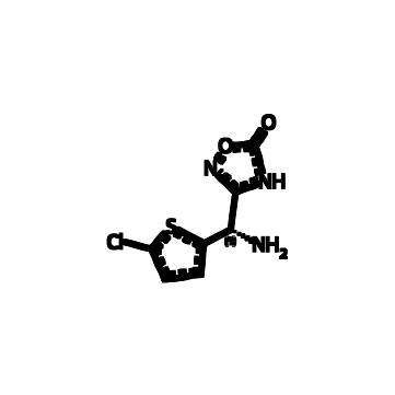 N[C@@H](c1noc(=O)[nH]1)c1ccc(Cl)s1